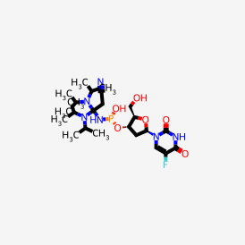 CC(C)N(C(C)C)C(CC#N)(NP(O)O[C@H]1C[C@H](n2cc(F)c(=O)[nH]c2=O)O[C@@H]1CO)N(C(C)C)C(C)C